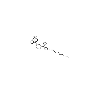 CCCCCCCCCCOC(=O)C1CCCC(C(=O)OC(C)(C)C)C1